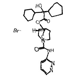 O=C(O[C@H]1C[N+]2(C(=O)Nc3cccnn3)CCC1CC2)C(O)(C1CCCCC1)C1CCCCC1.[Br-]